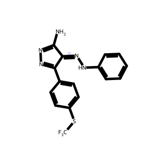 NC1=NN=C(c2ccc(SC(F)(F)F)cc2)/C1=N\Nc1ccccc1